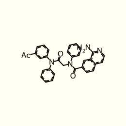 CC(=O)c1cccc(N(C(=O)CN(C(=O)c2ccc3ccnc(N)c3c2)c2ccccc2)c2ccccc2)c1